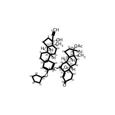 C#C[C@]1(O)CC[C@H]2[C@@H]3CCc4cc(OC5CCCC5)ccc4[C@H]3CC[C@@]21C.CC(=O)O[C@]1(C(C)=O)CC[C@H]2[C@@H]3C[C@H](C)C4=CC(=O)CC[C@]4(C)[C@H]3CC[C@@]21C